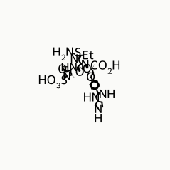 CCc1sc(N)nc1/C(=N/O[C@@H](COc1ccc(C(=N)N[C@@H]2CCNC2)cc1)C(=O)O)C(=O)N[C@@H]1C(=O)N(S(=O)(=O)O)[C@H]1C